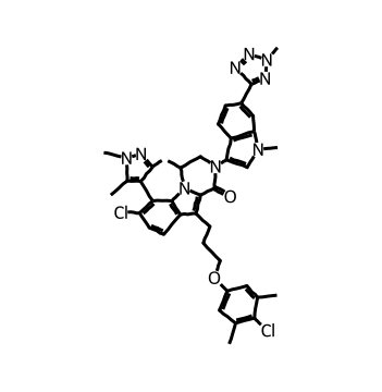 Cc1cc(OCCCc2c3n(c4c(-c5c(C)nn(C)c5C)c(Cl)ccc24)C(C)CN(c2cn(C)c4cc(-c5nnn(C)n5)ccc24)C3=O)cc(C)c1Cl